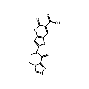 CN(C(=O)c1nnnn1C)c1cc2oc(=O)c(C(=O)O)cc2s1